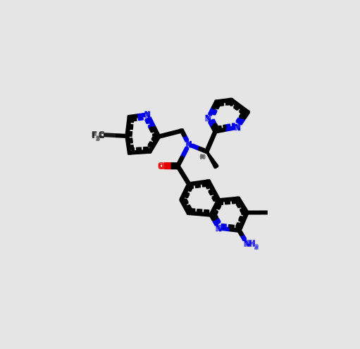 Cc1cc2cc(C(=O)N(Cc3ccc(C(F)(F)F)cn3)[C@H](C)c3ncccn3)ccc2nc1N